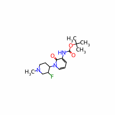 CN1CCC(n2cccc(NC(=O)OC(C)(C)C)c2=O)C(F)C1